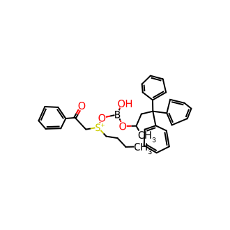 CCCC[S+](CC(=O)c1ccccc1)OB(O)OC(C)CC(c1ccccc1)(c1ccccc1)c1ccccc1